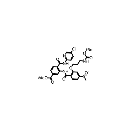 COC(=O)c1ccc(C(=O)Nc2ccc(Cl)cn2)c(NC(=O)c2ccc([S+](C)[O-])cc2OCCCNC(=O)OC(C)(C)C)c1